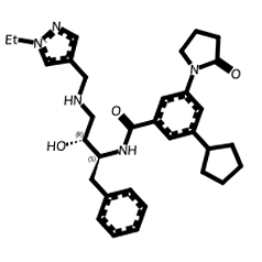 CCn1cc(CNC[C@@H](O)[C@H](Cc2ccccc2)NC(=O)c2cc(C3CCCC3)cc(N3CCCC3=O)c2)cn1